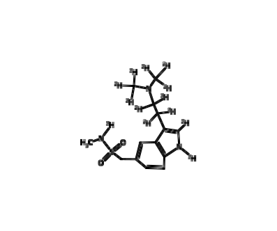 [2H]c1c(C([2H])([2H])C([2H])([2H])N(C([2H])([2H])[2H])C([2H])([2H])[2H])c2cc(CS(=O)(=O)N([2H])C)ccc2n1[2H]